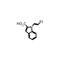 CCC=Cn1c(C(=O)O)cc2ccccc21